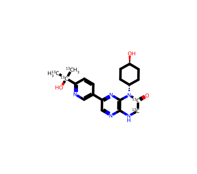 [13CH3][13C]([13CH3])(O)c1ccc(-c2cnc3c(n2)N([C@H]2CC[C@H](O)CC2)[13C](=O)[13CH2]N3)cn1